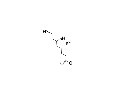 O=C([O-])CCCCC(S)CCS.[K+]